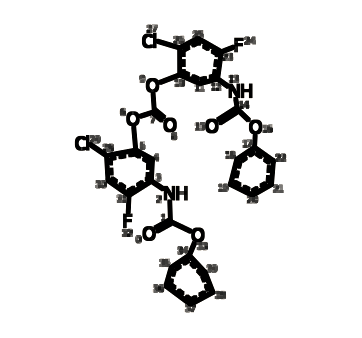 O=C(Nc1cc(OC(=O)Oc2cc(NC(=O)Oc3ccccc3)c(F)cc2Cl)c(Cl)cc1F)Oc1ccccc1